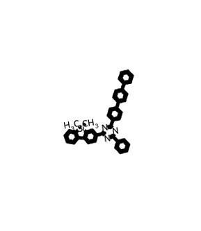 C[Si]1(C)c2ccccc2-c2ccc(-c3nc(-c4ccccc4)nc(-c4ccc(-c5ccc(-c6ccccc6)cc5)cc4)n3)cc21